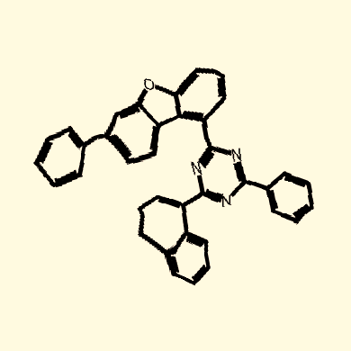 C1=C(c2nc(-c3ccccc3)nc(-c3cccc4oc5cc(-c6ccccc6)ccc5c34)n2)c2ccccc2CC1